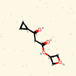 O=C(CC(=O)C1CC1)OC1COC1